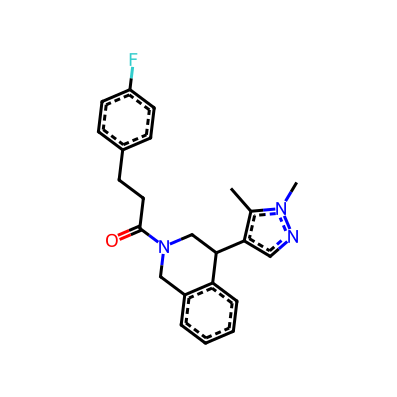 Cc1c(C2CN(C(=O)CCc3ccc(F)cc3)Cc3ccccc32)cnn1C